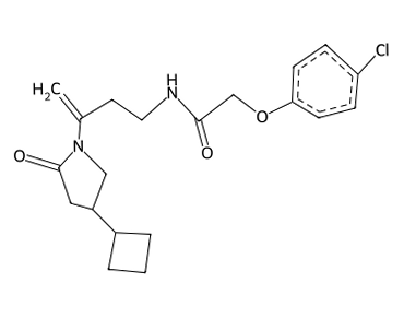 C=C(CCNC(=O)COc1ccc(Cl)cc1)N1CC(C2CCC2)CC1=O